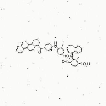 C1=CNc2ccccc2C=C1.CC1=C(C(=O)O)C=CC(=C=O)C1C(=O)O.Cc1ccccc1Nc1ccc(C(=O)C2=c3ccc4c(c3CCC2)CC=c2ccccc2=4)cn1